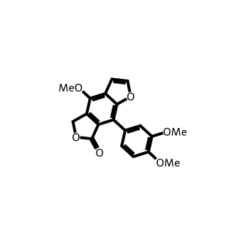 COc1ccc(-c2c3c(c(OC)c4ccoc24)COC3=O)cc1OC